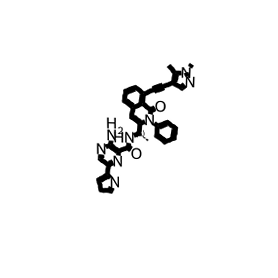 Cc1c(C#Cc2cccc3cc([C@H](C)NC(=O)c4nc(C5=CCC=N5)cnc4N)n(-c4ccccc4)c(=O)c23)cnn1C